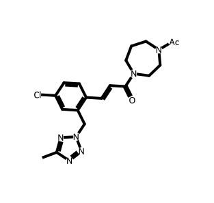 CC(=O)N1CCCN(C(=O)C=Cc2ccc(Cl)cc2Cn2nnc(C)n2)CC1